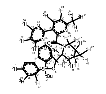 [2H]c1ccc([Si](OC([2H])([2H])[C@@]2([2H])N(C(=O)c3nc(C([2H])([2H])[2H])c([2H])c([2H])c3-c3nc([2H])c([2H])c([2H])n3)C([2H])([2H])[C@]3([2H])C([2H])([2H])[C@]3([2H])C2([2H])[2H])(c2ccccc2)C(C)(C)C)c([2H])c1[2H]